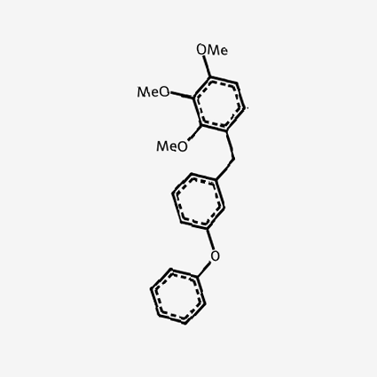 COc1c[c]c(Cc2cccc(Oc3ccccc3)c2)c(OC)c1OC